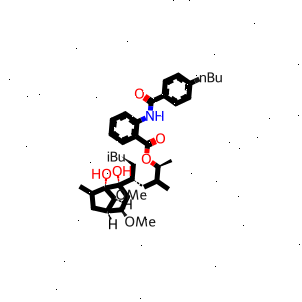 CCCCc1ccc(C(=O)Nc2ccccc2C(=O)O[C@@H](C)C(C)C[C@@H](C[C@H](C)CC)[C@@]2(O)C[C@@H](OC)[C@H]3CC(C)[C@]2(O)[C@H]3OC)cc1